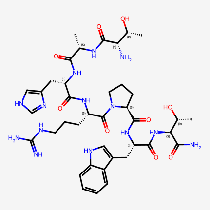 C[C@H](NC(=O)[C@@H](N)[C@@H](C)O)C(=O)N[C@@H](Cc1c[nH]cn1)C(=O)N[C@@H](CCCNC(=N)N)C(=O)N1CCC[C@H]1C(=O)N[C@@H](Cc1c[nH]c2ccccc12)C(=O)N[C@H](C(N)=O)[C@@H](C)O